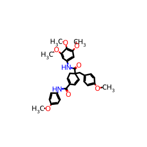 COc1ccc(CC2(C(=O)Nc3cc(OC)c(OC)c(OC)c3)C=CC(C(=O)Nc3ccc(OC)cc3)=CC2)cc1